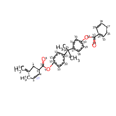 C=CCC(/C=C\C)C(=O)Oc1ccc(C(C)(C)c2ccc(OC(=O)C3=CCCC=C3)cc2)cc1